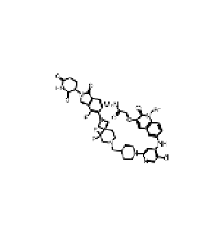 CNC(=O)COc1cc2cc(Nc3cc(N4CCC(CN5CCC6(CN(c7ccc8c(c7F)CN(C7CCC(=O)NC7=O)C8=O)C6)C(F)(F)C5)CC4)ncc3Cl)ccc2n(C(C)C)c1=O